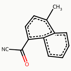 Cc1ccc(C(=O)C#N)c2ccccc12